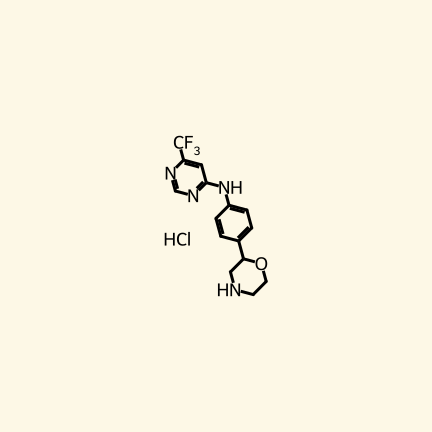 Cl.FC(F)(F)c1cc(Nc2ccc(C3CNCCO3)cc2)ncn1